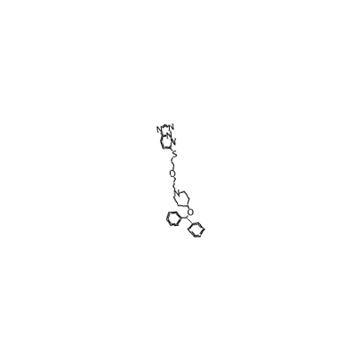 c1ccc(C(OC2CCN(CCOCCSc3ccc4ncnn4n3)CC2)c2ccccc2)cc1